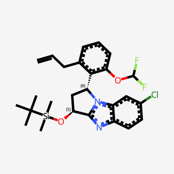 C=CCc1cccc(OC(F)F)c1[C@H]1C[C@H](O[Si](C)(C)C(C)(C)C)c2nc3ccc(Cl)cc3n21